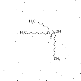 CCCCCCCCCC(O)(CCCCCCCC)C(=O)OCCCCCCCC